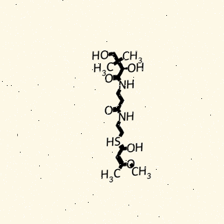 CO/C(C)=C\C(O)=[SH]\CCNC(=O)CCNC(=O)[C@H](O)C(C)(C)CO